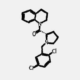 O=C([C@@H]1CCCN1Cc1cc(Cl)ccc1Cl)N1CCCc2ccccc21